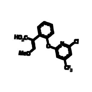 COC=C(C(=O)O)c1ccccc1Oc1cc(C(F)(F)F)cc(Cl)n1